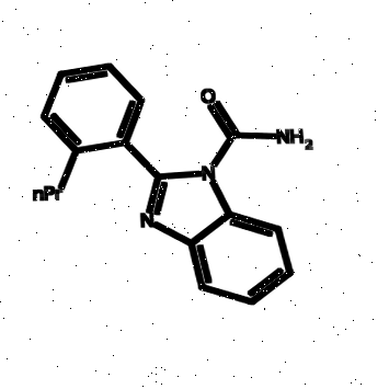 CCCc1ccccc1-c1nc2ccccc2n1C(N)=O